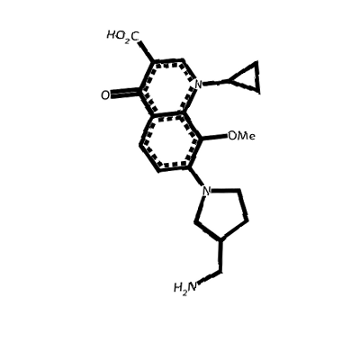 COc1c(N2CCC(CN)C2)ccc2c(=O)c(C(=O)O)cn(C3CC3)c12